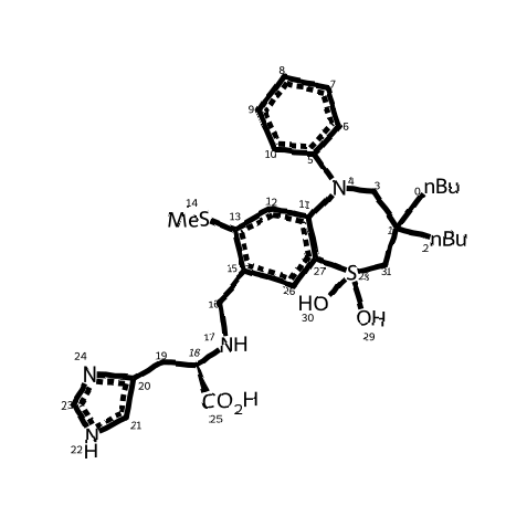 CCCCC1(CCCC)CN(c2ccccc2)c2cc(SC)c(CN[C@H](Cc3c[nH]cn3)C(=O)O)cc2S(O)(O)C1